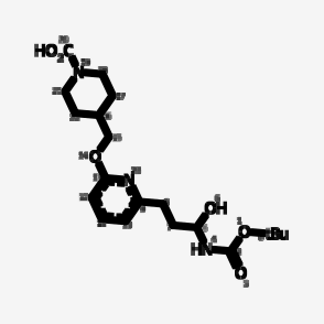 CC(C)(C)OC(=O)NC(O)CCc1cccc(OCC2CCN(C(=O)O)CC2)n1